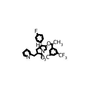 C[C@@H](O[C@H]1CN2C(=O)C(Cc3ccccn3)C[C@H]2[C@@H]1c1ccc(F)cc1)c1cc(C(F)(F)F)cc(C(F)(F)F)c1